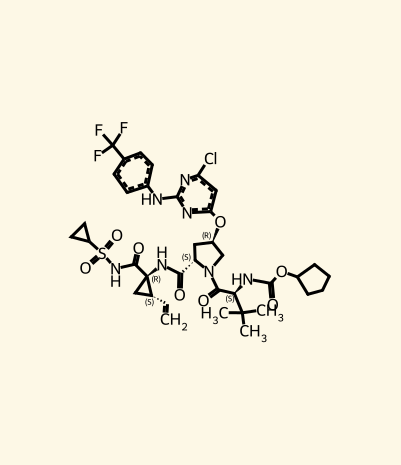 C=C[C@@H]1C[C@]1(NC(=O)[C@@H]1C[C@@H](Oc2cc(Cl)nc(Nc3ccc(C(F)(F)F)cc3)n2)CN1C(=O)[C@@H](NC(=O)OC1CCCC1)C(C)(C)C)C(=O)NS(=O)(=O)C1CC1